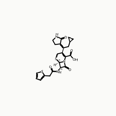 O=C(Cc1cccs1)N[C@@H]1C(=O)N2C(C(=O)O)=C(C(CC3CC3)=C3CCNC3=O)CS[C@H]12